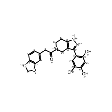 O=C(Cc1ccc2c(c1)OCO2)N1CCc2[nH]nc(-c3cc(Cl)c(O)cc3O)c2C1